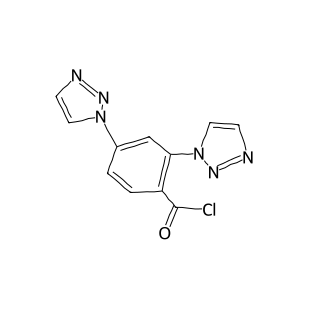 O=C(Cl)c1ccc(-n2ccnn2)cc1-n1ccnn1